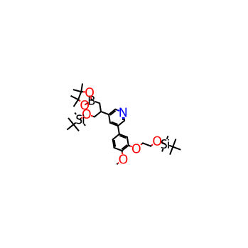 COc1ccc(-c2cncc(C(CO[Si](C)(C)C(C)(C)C)CB3OC(C)(C)C(C)(C)O3)c2)cc1OCCO[Si](C)(C)C(C)(C)C